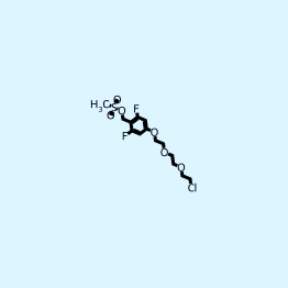 CS(=O)(=O)OCc1c(F)cc(OCCOCCOCCCl)cc1F